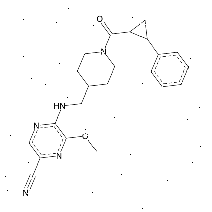 COc1nc(C#N)cnc1NCC1CCN(C(=O)C2CC2c2ccccc2)CC1